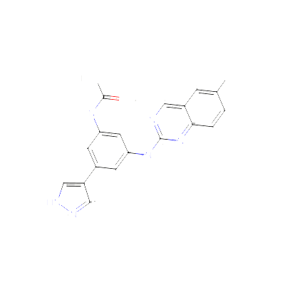 Bc1ccc2nc(Nc3cc(NC(C)=O)cc(-c4cn[nH]c4)c3)ncc2c1